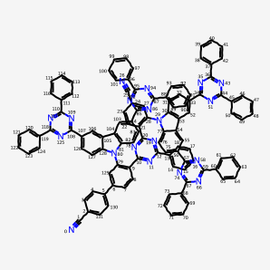 N#Cc1ccc(-c2ccc(-c3nc(-c4ccccc4)nc(-c4ccc(C#N)cc4-n4c5ccc(-c6nc(-c7ccccc7)nc(-c7ccccc7)n6)cc5c5cc(-c6nc(-c7ccccc7)nc(-c7ccccc7)n6)ccc54)n3)c(-n3c4ccc(-c5nc(-c6ccccc6)nc(-c6ccccc6)n5)cc4c4cc(-c5nc(-c6ccccc6)nc(-c6ccccc6)n5)ccc43)c2)cc1